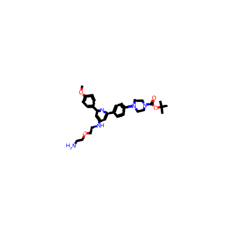 COc1ccc(-c2cc(NCCOCCN)cc(-c3ccc(N4CCN(C(=O)OC(C)(C)C)CC4)cc3)n2)cc1